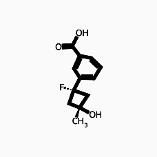 C[C@]1(O)C[C@](F)(c2cccc(C(=O)O)c2)C1